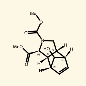 COC(=O)[C@@H]1[C@@H]2[C@H](CN1C(=O)OC(C)(C)C)[C@@H]1C=C[C@H]2C1O